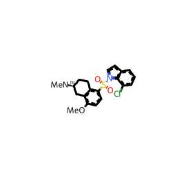 CN[C@H]1CCc2c(S(=O)(=O)n3ccc4cccc(Cl)c43)ccc(OC)c2C1